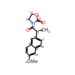 COc1ccc2cc([C@H](C)C(=O)N3CCOC3=O)ccc2c1